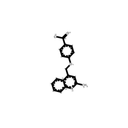 Cc1cc(COc2ccc(C(=O)Cl)cc2)c2ccccc2n1